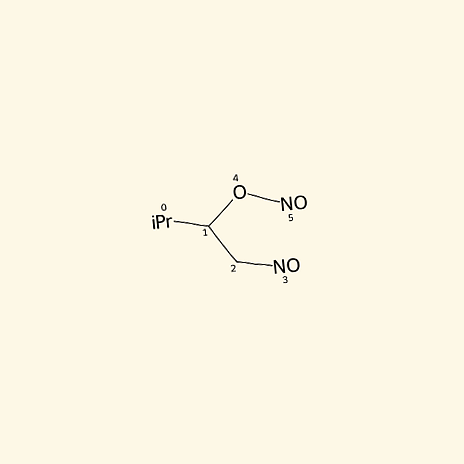 CC(C)C(CN=O)ON=O